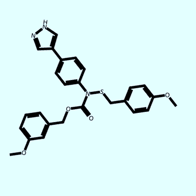 COc1ccc(CSN(C(=O)OCc2cccc(OC)c2)c2ccc(-c3cn[nH]c3)cc2)cc1